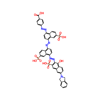 O=C(O)c1ccc(N=Nc2ccc(N=Nc3ccc(N=Nc4c(S(=O)(=O)O)cc5cc(N6Cc7ccccc7C6)ccc5c4O)c4cc(S(=O)(=O)O)ccc34)c3cc(S(=O)(=O)O)ccc23)cc1